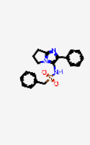 O=S(=O)(Cc1ccccc1)Nc1c(-c2ccccc2)nc2n1CCC2